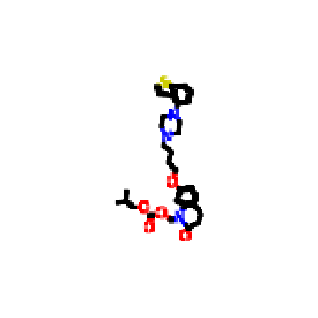 CC(C)COC(=O)OCN1C(=O)CCc2ccc(OCCCCN3CCN(c4cccc5sccc45)CC3)cc21